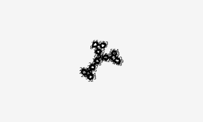 c1ccc(-c2ccccc2-c2ccc(N(c3ccc(-c4ccc(-n5c6ccccc6c6ccccc65)cc4)cc3)c3ccc(-c4cc5ccccc5c5ccccc45)cc3)cc2)cc1